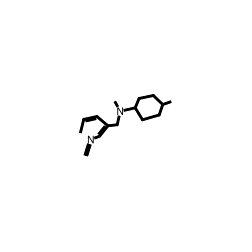 C=N/C=C(\C=C/C)CN(C)C1CCC(C)CC1